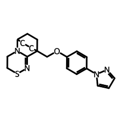 c1cnn(-c2ccc(OCC34CCC(CC3)N3CCSN=C34)cc2)c1